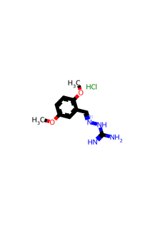 COc1ccc(OC)c(/C=N/NC(=N)N)c1.Cl